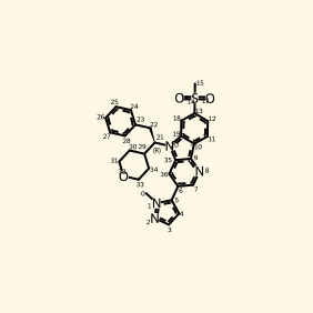 Cn1nccc1-c1cnc2c3ccc(S(C)(=O)=O)cc3n([C@H](Cc3ccccc3)C3CCOCC3)c2c1